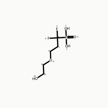 O=P(O)(O)C(F)(F)CCOCCO